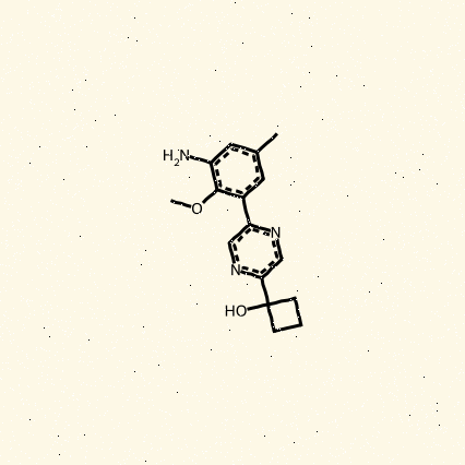 COc1c(N)cc(C)cc1-c1cnc(C2(O)CCC2)cn1